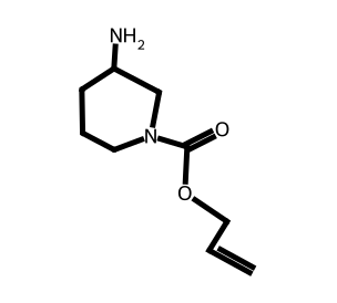 C=CCOC(=O)N1CCCC(N)C1